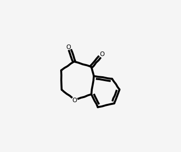 O=C1CCOc2ccccc2C1=O